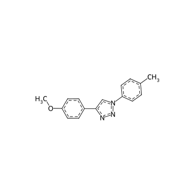 COc1ccc(-c2cn(-c3ccc(C)cc3)nn2)cc1